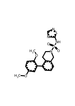 COc1ccc(OC)c(-c2cccc3c2CCN(S(=O)(=O)Nc2ncns2)C3)c1